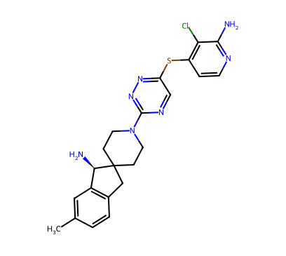 Cc1ccc2c(c1)[C@@H](N)C1(CCN(c3ncc(Sc4ccnc(N)c4Cl)nn3)CC1)C2